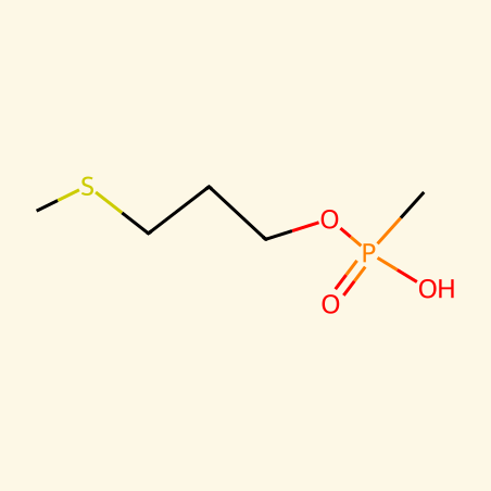 CSCCCOP(C)(=O)O